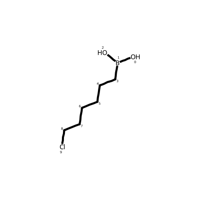 OB(O)CCCCCCCl